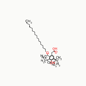 CCCCCCCCCCCCCCCCCCOC(C)c1c(CC(=O)O)cc(C(C)(C)C)c(O)c1C(C)(C)C